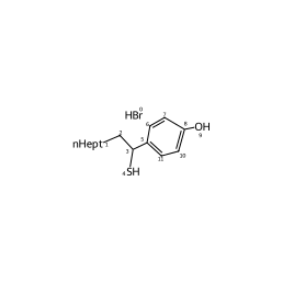 Br.CCCCCCCCC(S)c1ccc(O)cc1